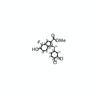 COC(=O)c1cc2c(F)c(O)ccc2n1Cc1ccc(Cl)c(Cl)c1